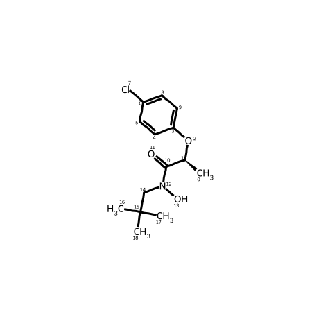 C[C@H](Oc1ccc(Cl)cc1)C(=O)N(O)CC(C)(C)C